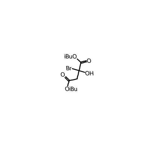 CC(C)COC(=O)CC(O)(Br)C(=O)OCC(C)C